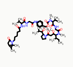 CCC(C)C(C(CC(=O)N1CCCC1C(OC)C(C)C)OC)N(C)C(=O)CNC(=O)C(C(C)C)N(C)C(=O)OCc1ccc(NC(=O)CNC(=O)C(NC(=O)CCCCCN2C(=O)CC3C(C)C32C)C(C)C)cc1